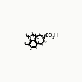 Cc1ccc2c3c1N(C)C[C@@H]3CN(C(=O)O)CC2